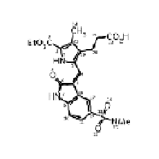 CCOC(=O)c1[nH]c(C=C2C(=O)Nc3ccc(S(=O)(=O)NC)cc32)c(CCC(=O)O)c1C